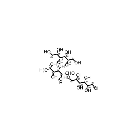 C[C@H](O)[C@H](O)[C@@H](O)[C@@H](O)C=O.OC[C@@H](O)[C@@H](O)[C@H](O)[C@@H](O)CO.OC[C@@H](O)[C@@H](O)[C@H](O)[C@H](O)CO